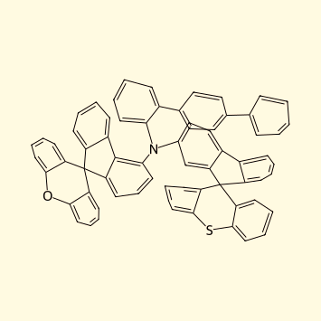 c1ccc(-c2ccc(-c3ccccc3N(c3ccc4c(c3)C3(c5ccccc5Sc5ccccc53)c3ccccc3-4)c3cccc4c3-c3ccccc3C43c4ccccc4Oc4ccccc43)cc2)cc1